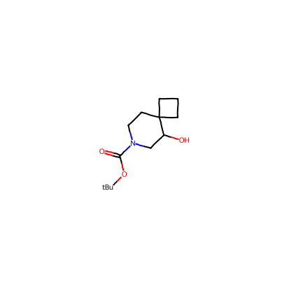 CC(C)(C)OC(=O)N1CCC2(CCC2)C(O)C1